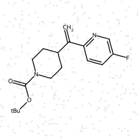 C=C(c1ccc(F)cn1)C1CCN(C(=O)OC(C)(C)C)CC1